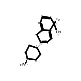 CCC[C@H]1CC[C@H](C2=CC=C3C(=CC=CC3(F)C#N)C2)CC1